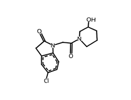 O=C(CN1C(=O)Cc2cc(Cl)ccc21)N1CCCC(O)C1